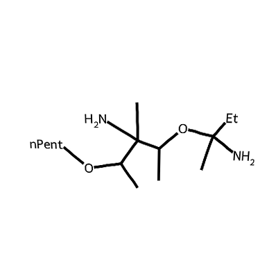 CCCCCOC(C)C(C)(N)C(C)OC(C)(N)CC